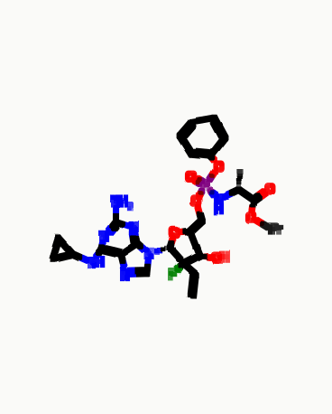 C=C[C@@]1(F)[C@H](O)C(CO[P@@](=O)(N[C@H](C)C(=O)OC(C)C)Oc2ccccc2)O[C@H]1n1cnc2c(NC3CC3)nc(N)nc21